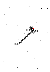 CCCCCCCCC=CCCCCCCCC(=O)C1C(P)=C([N+](=O)[O-])C=CC1(O)O